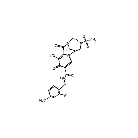 Cc1ccc(CNC(=O)c2cn3c(c(O)c2=O)C(=O)N2CCN(S(C)(=O)=O)CC3C2)c(F)c1